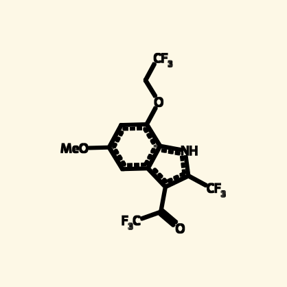 COc1cc(OCC(F)(F)F)c2[nH]c(C(F)(F)F)c(C(=O)C(F)(F)F)c2c1